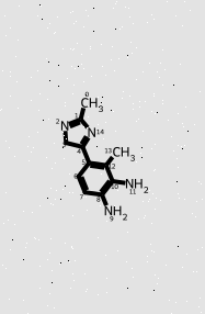 CC1=NCC(c2ccc(N)c(N)c2C)=N1